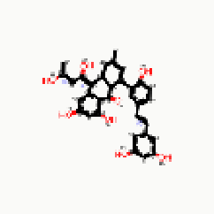 CC1=CC(c2cc(/C=C/c3cc(O)cc(O)c3)ccc2O)C2C(=O)c3c(O)cc(O)cc3/C(=C(O)\C=C(/C)O)C2C1